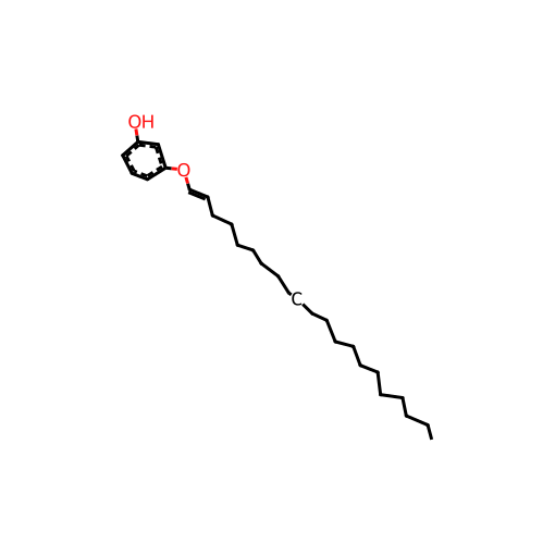 CCCCCCCCCCCCCCCCCCCC=COc1cccc(O)c1